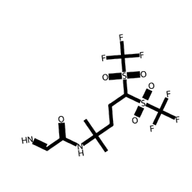 CC(C)(CCC(S(=O)(=O)C(F)(F)F)S(=O)(=O)C(F)(F)F)NC(=O)C=N